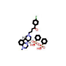 CN1CCN2c3c(cccc31)[C@@H]1CN(CCCC(=O)c3ccc(F)cc3)CC[C@@H]12.O=S(=O)(O)c1ccccc1.O=S(=O)(O)c1ccccc1